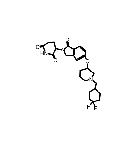 O=C1CCC(N2Cc3cc(OC4CCCN(CC5CCC(F)(F)CC5)C4)ccc3C2=O)C(=O)N1